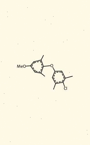 COc1cc(C)c(Oc2cc(C)c(Cl)c(C)c2)c(C)c1